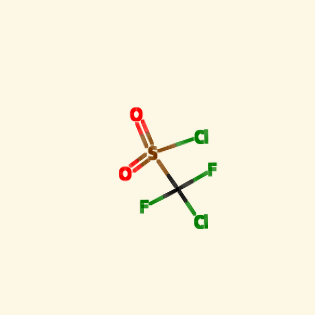 O=S(=O)(Cl)C(F)(F)Cl